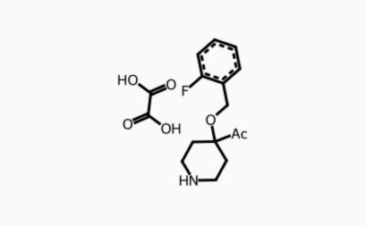 CC(=O)C1(OCc2ccccc2F)CCNCC1.O=C(O)C(=O)O